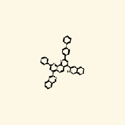 C1=C(c2cc(-c3ccc(-c4ccccc4)cc3)nc3c2ccc2c(-c4cc5ccccc5cn4)cc(-c4ccccc4)nc23)NCc2ccccc21